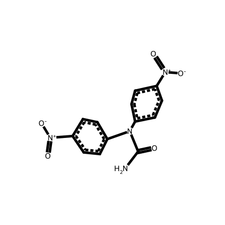 NC(=O)N(c1ccc([N+](=O)[O-])cc1)c1ccc([N+](=O)[O-])cc1